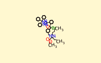 CCCCc1nc(CCC)c(C(=O)OCC)n1Cc1ccc2oc(-c3ccccc3-c3nnn(C(c4ccccc4)(c4ccccc4)c4ccccc4)n3)c(Br)c2c1